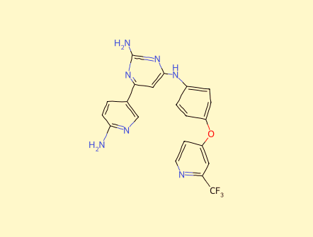 Nc1ccc(-c2cc(Nc3ccc(Oc4ccnc(C(F)(F)F)c4)cc3)nc(N)n2)cn1